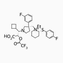 CC[N+]1(C[C@]2(c3cccc(F)c3)CCN([C@@H](C3CCC3)C(OC(=O)C(F)(F)F)C(=O)O)C2)CCCC[C@H]1Sc1ccc(F)cc1